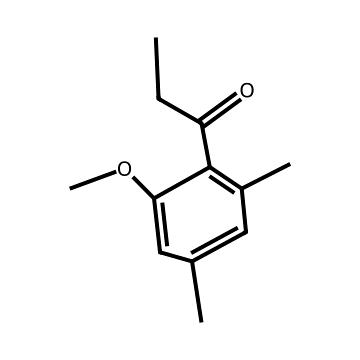 CCC(=O)c1c(C)cc(C)cc1OC